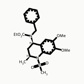 CCOC(=O)N(Cc1ccccc1)[C@@H]1C[C@H](C)N(S(C)(=O)=O)c2cc(OC)c(OC)cc21